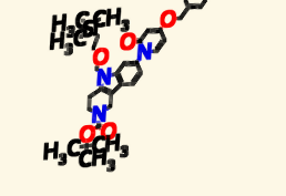 CC(C)(C)OC(=O)N1CCc2c(c3ccc(-n4ccc(OCc5ccccc5)cc4=O)cc3n2COCC[Si](C)(C)C)C1